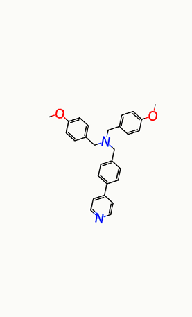 COc1ccc(CN(Cc2ccc(OC)cc2)Cc2ccc(-c3ccncc3)cc2)cc1